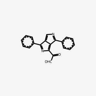 O=CC(=O)C1=C2C(=CN=C2c2ccccc2)C(c2ccccc2)=N1